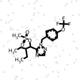 CCC(CC)C(OS(C)(=O)=O)c1ncnn1Cc1ccc(OC(F)(F)F)cc1